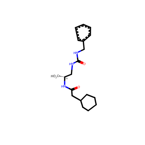 O=C(CC1CCCCC1)N[C@@H](CNC(=O)NCc1ccccc1)C(=O)O